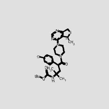 C[C@@H]1SCc2ncnc(N3CCN(C(=O)C(CC(C)(C)NC(=O)OC(C)(C)C)c4ccc(Cl)cc4)CC3)c21